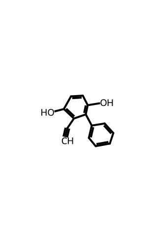 C#Cc1c(O)ccc(O)c1-c1ccccc1